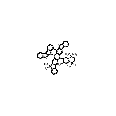 Cc1cc2c(cc1N1c3cc4c(cc3B3c5c1cc1c(sc6ccccc61)c5-c1cccc5c6c7ccccc7sc6n3c15)C(C)(C)c1ccccc1-4)C(C)(C)CCC2(C)C